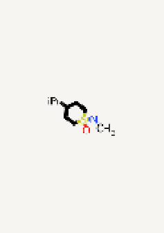 CN=S1(=O)CCC(C(C)C)CC1